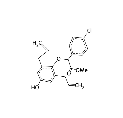 C=CCc1cc(O)cc(CC=C)c1OC(C(=O)OC)c1ccc(Cl)cc1